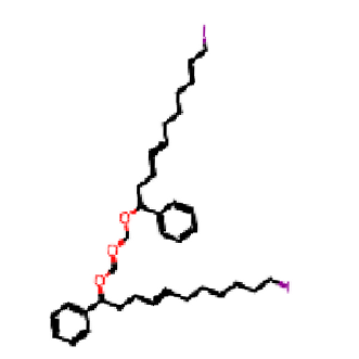 ICCCCCCC=CCCC(OCOCOC(CCC=CCCCCCCI)c1ccccc1)c1ccccc1